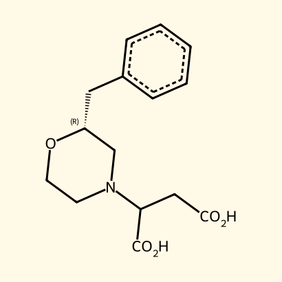 O=C(O)CC(C(=O)O)N1CCO[C@H](Cc2ccccc2)C1